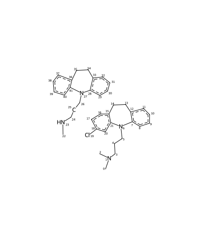 CN(C)CCCN1c2ccccc2CCc2ccc(Cl)cc21.CNCCCN1c2ccccc2CCc2ccccc21